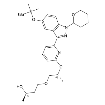 C[C@H](COCC[C@@H](C)O)Oc1cccc(-c2nn(C3CCCCO3)c3ccc(O[Si](C)(C)C(C)(C)C)cc23)n1